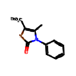 CCOC(=O)c1sc(=O)n(-c2ccccc2)c1C